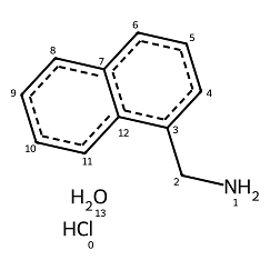 Cl.NCc1cccc2ccccc12.O